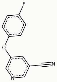 N#Cc1cncc(Oc2ccc(F)cc2)c1